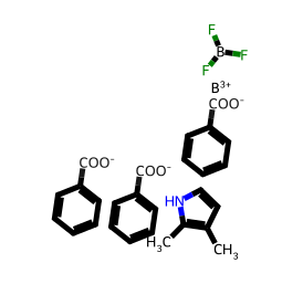 Cc1cc[nH]c1C.FB(F)F.O=C([O-])c1ccccc1.O=C([O-])c1ccccc1.O=C([O-])c1ccccc1.[B+3]